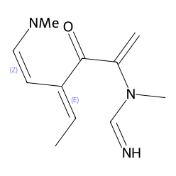 C=C(C(=O)C(/C=C\NC)=C/C)N(C)C=N